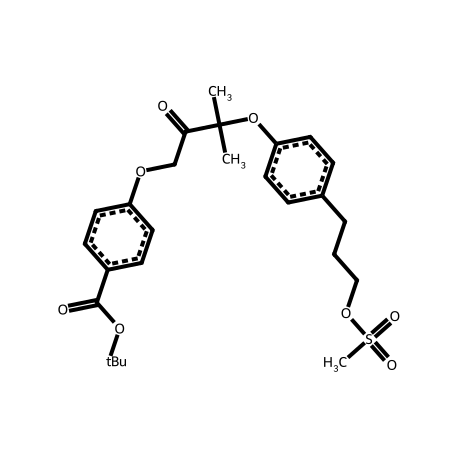 CC(C)(C)OC(=O)c1ccc(OCC(=O)C(C)(C)Oc2ccc(CCCOS(C)(=O)=O)cc2)cc1